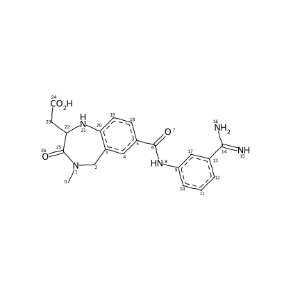 CN1Cc2cc(C(=O)Nc3cccc(C(=N)N)c3)ccc2NC(CC(=O)O)C1=O